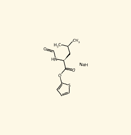 CC(C)C[C@H](NC=O)C(=O)Oc1cccs1.[NaH]